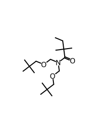 CCC(C)(C)C(=O)N(COCC(C)(C)C)COCC(C)(C)C